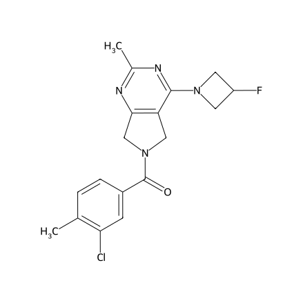 Cc1nc2c(c(N3CC(F)C3)n1)CN(C(=O)c1ccc(C)c(Cl)c1)C2